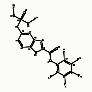 O=C(Oc1c(F)c(F)c(F)c(F)c1F)c1cc2cc(CP(=O)(OF)OF)ccc2s1